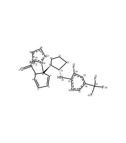 NC(=O)C1C=CC=CC1([C@H]1CCC[C@@H]1Nc1ncc(C(F)(F)F)cc1F)n1nccn1